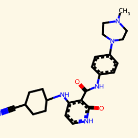 CN1CCN(c2ccc(NC(=O)c3c(NC4CCC(C#N)CC4)cc[nH]c3=O)cc2)CC1